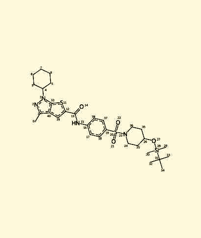 Cc1nn(C2CCCCC2)c2sc(C(=O)Nc3ccc(S(=O)(=O)N4CCC(O[Si](C)(C)C(C)(C)C)CC4)cc3)cc12